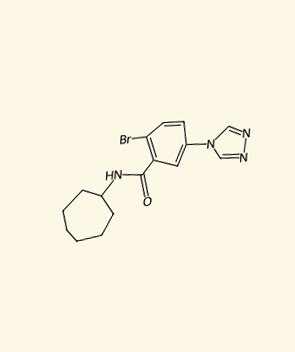 O=C(NC1CCCCCC1)c1cc(-n2cnnc2)ccc1Br